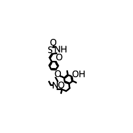 CCN(CCOc1ccc(C=C2SC(=O)NC2=O)cc1)CC1(C)CCc2c(C)c(O)c(C)c(C)c2O1